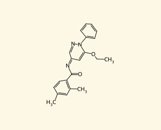 CCOc1c/c(=N\C(=O)c2ccc(C)cc2C)cnn1-c1ccccc1